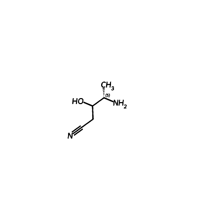 C[C@H](N)C(O)CC#N